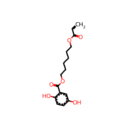 C=CC(=O)OCCCCCCOC(=O)c1cc(O)ccc1O